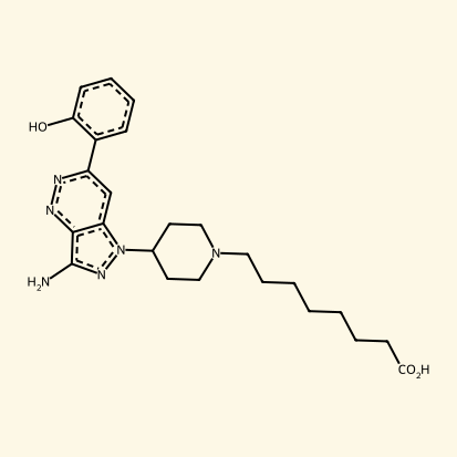 Nc1nn(C2CCN(CCCCCCCC(=O)O)CC2)c2cc(-c3ccccc3O)nnc12